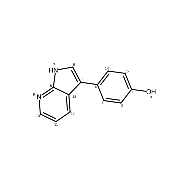 Oc1ccc(-c2c[nH]c3ncccc23)cc1